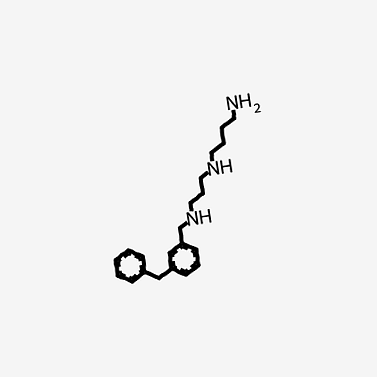 NCCCCNCCCNCc1cccc(Cc2ccccc2)c1